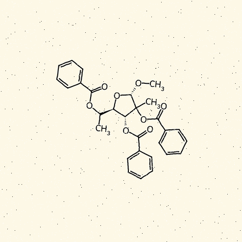 CO[C@H]1O[C@H](C(C)OC(=O)c2ccccc2)[C@@H](OC(=O)c2ccccc2)C1(C)OC(=O)c1ccccc1